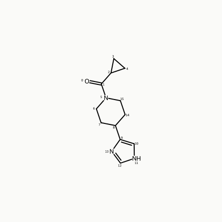 O=C(C1CC1)N1CCC(c2c[nH]cn2)CC1